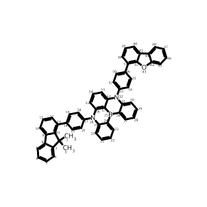 CC1(C)c2ccccc2-c2cccc(-c3ccc(N4c5ccccc5B5c6ccccc6N(c6ccc(-c7cccc8c7oc7ccccc78)cc6)c6cccc4c65)cc3)c21